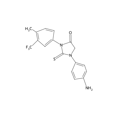 Cc1ccc(N2C(=O)CN(c3ccc(N)cc3)C2=S)cc1C(F)(F)F